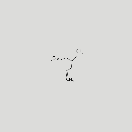 [CH2]CC(CC=C)CC=C